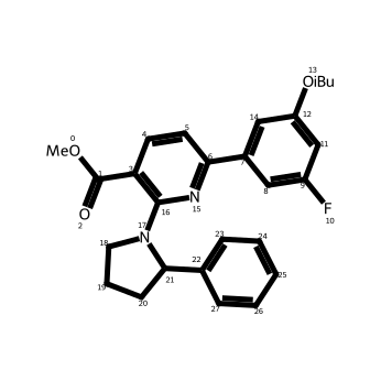 COC(=O)c1ccc(-c2cc(F)cc(OCC(C)C)c2)nc1N1CCCC1c1ccccc1